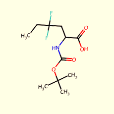 CCC(F)(F)CC(NC(=O)OC(C)(C)C)C(=O)O